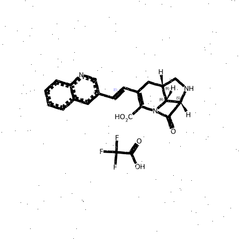 O=C(O)C(F)(F)F.O=C(O)C1=C(/C=C/c2cnc3ccccc3c2)C[C@@H]2CN[C@@H]3C(=O)N1[C@H]23